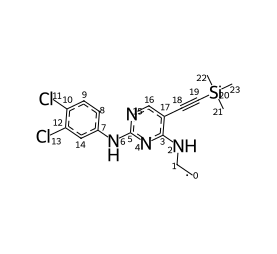 [CH2]CNc1nc(Nc2ccc(Cl)c(Cl)c2)ncc1C#C[Si](C)(C)C